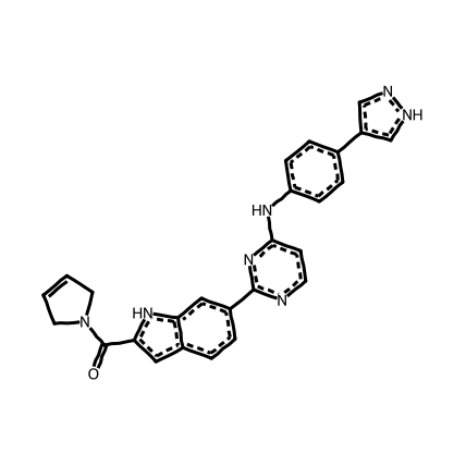 O=C(c1cc2ccc(-c3nccc(Nc4ccc(-c5cn[nH]c5)cc4)n3)cc2[nH]1)N1CC=CC1